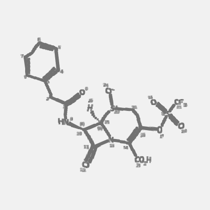 O=C(Cc1ccccc1)N[C@@H]1C(=O)N2C(C(=O)O)=C(OS(=O)(=O)C(F)(F)F)C[S+]([O-])[C@H]12